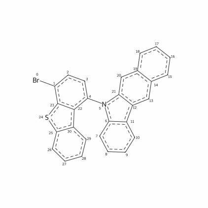 Brc1ccc(-n2c3ccccc3c3cc4ccccc4cc32)c2c1sc1ccccc12